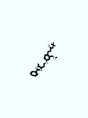 COCc1cc(OCCc2nc(-c3ccccc3)oc2C)ccc1CCC(=O)CC(C)(C)C